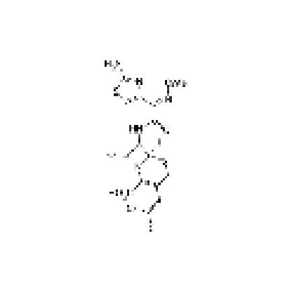 CO/N=C(/C(=O)NC1C(=O)N2C(C(=O)O)=C(C=C(Cl)Cl)CS[C@H]12)c1csc(N)n1